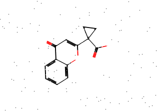 O=C(O)C1(c2cc(=O)c3ccccc3o2)CC1